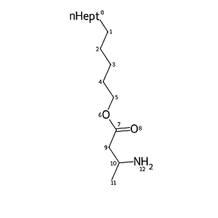 CCCCCCCCCCCCOC(=O)CC(C)N